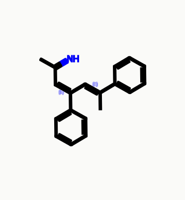 CC(=N)/C=C(\C=C(/C)c1ccccc1)c1ccccc1